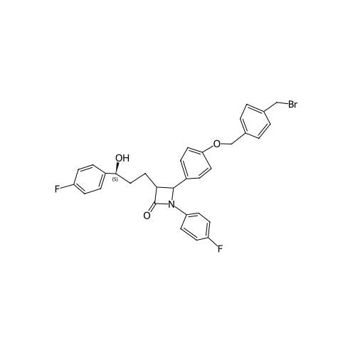 O=C1C(CC[C@H](O)c2ccc(F)cc2)C(c2ccc(OCc3ccc(CBr)cc3)cc2)N1c1ccc(F)cc1